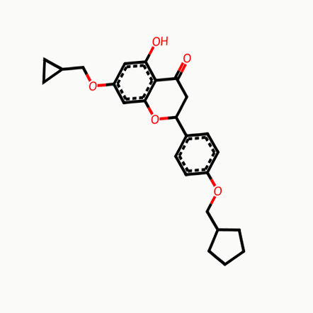 O=C1CC(c2ccc(OCC3CCCC3)cc2)Oc2cc(OCC3CC3)cc(O)c21